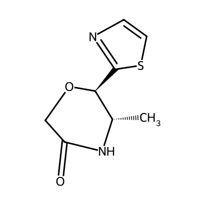 C[C@@H]1NC(=O)CO[C@H]1c1nccs1